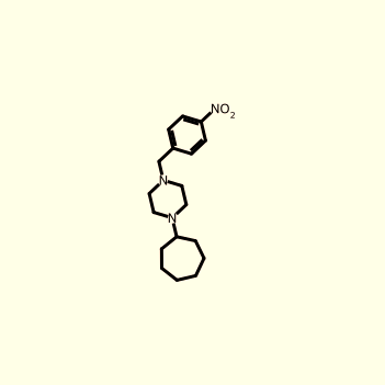 O=[N+]([O-])c1ccc(CN2CCN(C3CCCCCC3)CC2)cc1